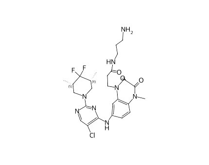 C[C@@H]1CN(c2ncc(Cl)c(Nc3ccc4c(c3)n(CCC(=O)NCCCN)c(=O)c(=O)n4C)n2)C[C@H](C)C1(F)F